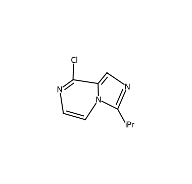 CC(C)c1ncc2c(Cl)nccn12